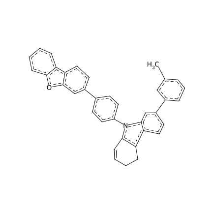 Cc1cccc(-c2ccc3c4c(n(-c5ccc(-c6ccc7c(c6)oc6ccccc67)cc5)c3c2)C=CCC4)c1